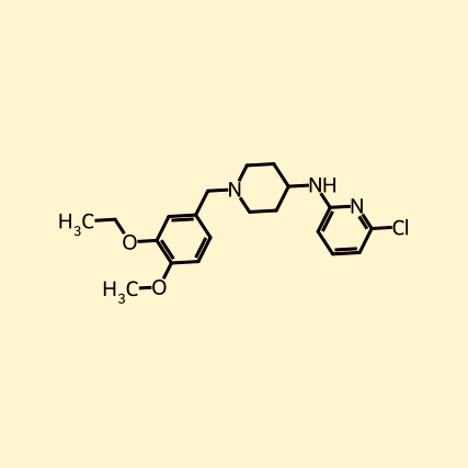 CCOc1cc(CN2CCC(Nc3cccc(Cl)n3)CC2)ccc1OC